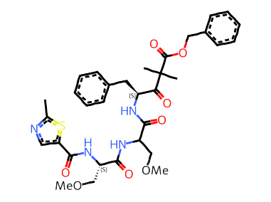 COCC(NC(=O)[C@H](COC)NC(=O)c1cnc(C)s1)C(=O)N[C@@H](Cc1ccccc1)C(=O)C(C)(C)C(=O)OCc1ccccc1